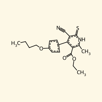 CCCCOc1ccc(-c2c(C(=O)OCC)c(C)[nH]c(=S)c2C#N)cc1